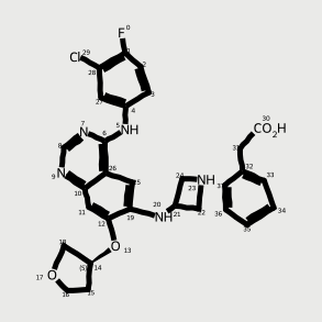 Fc1ccc(Nc2ncnc3cc(O[C@H]4CCOC4)c(NC4CNC4)cc23)cc1Cl.O=C(O)Cc1ccccc1